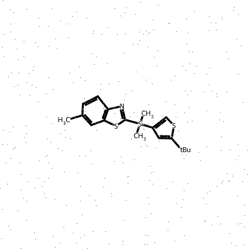 Cc1ccc2nc([Si](C)(C)c3csc(C(C)(C)C)c3)sc2c1